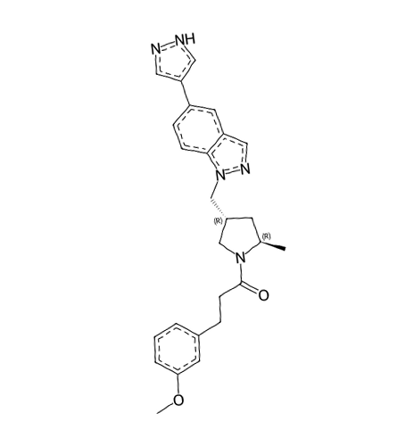 COc1cccc(CCC(=O)N2C[C@H](Cn3ncc4cc(-c5cn[nH]c5)ccc43)C[C@H]2C)c1